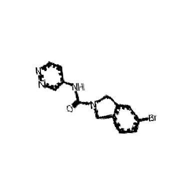 O=C(Nc1ccnnc1)N1Cc2ccc(Br)cc2C1